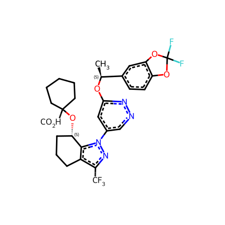 C[C@H](Oc1cc(-n2nc(C(F)(F)F)c3c2[C@@H](OC2(C(=O)O)CCCCC2)CCC3)cnn1)c1ccc2c(c1)OC(F)(F)O2